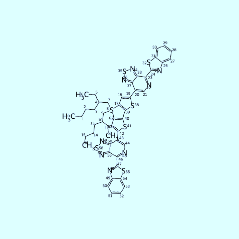 CCCCC(CC)CS1(CC(CC)CCCC)c2cc(-c3cnc(-c4nc5ccccc5s4)c4nsnc34)sc2-c2sc(-c3cnc(-c4nc5ccccc5s4)c4nsnc34)cc21